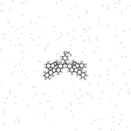 Cc1ccc(N(c2ccc3c4c(ccc3c2)-c2cc3ccccc3cc2C42c3ccccc3-c3ccccc32)c2ccc3c4c(ccc3c2)-c2cc3ccccc3cc2C42c3ccccc3-c3ccccc32)cc1